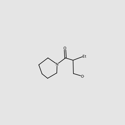 CCC(C[O])C(=O)N1CCCCC1